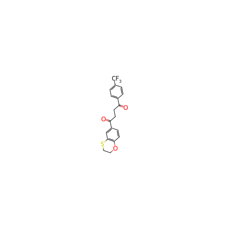 O=C(CCC(=O)c1ccc2c(c1)SCCO2)c1ccc(C(F)(F)F)cc1